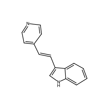 C(=Cc1c[nH]c2ccccc12)c1ccncc1